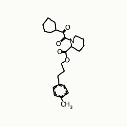 Cc1ccc(CCCOC(=O)C2CCCCN2C(=O)C(=O)C2CCCCC2)cc1